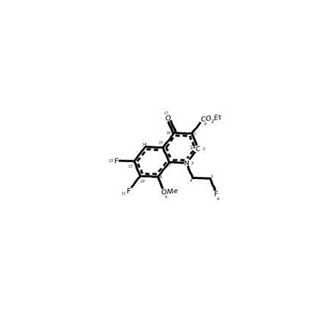 CCOC(=O)c1[14cH]n(CCF)c2c(OC)c(F)c(F)cc2c1=O